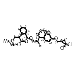 COC=C(C(=O)OC)c1ccccc1CON=C(C)C(=NOC)c1ccc(OCC2CC2(Cl)Cl)cc1F